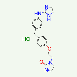 Cl.O=C1N=CCN1CCOc1ccc(Cc2ccc(NC3=NCCN3)cc2)cc1